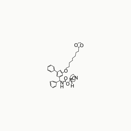 O=C(NC(c1ccccc1)c1cc(OCCCCCCCCC2OCCO2)cc(-c2ccccc2)c1)O[C@H]1CN2CCC1CC2